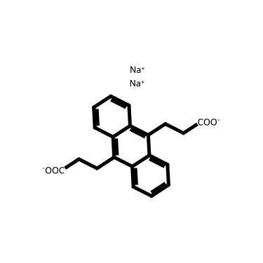 O=C([O-])CCc1c2ccccc2c(CCC(=O)[O-])c2ccccc12.[Na+].[Na+]